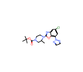 CC1CN(C(=O)OC(C)(C)C)CCN1c1nc2cc(Cl)cc(-n3nccn3)c2o1